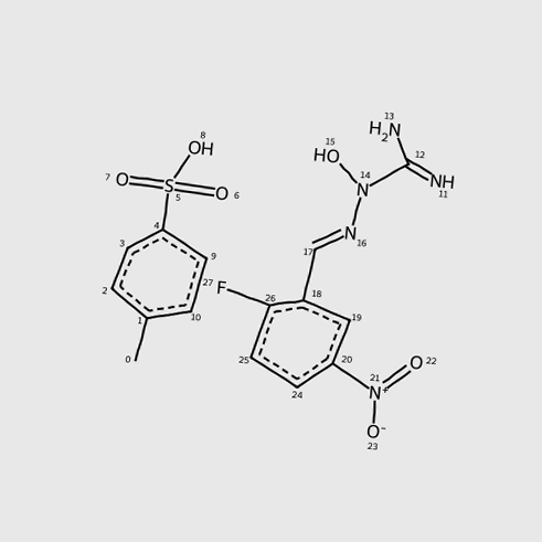 Cc1ccc(S(=O)(=O)O)cc1.N=C(N)N(O)N=Cc1cc([N+](=O)[O-])ccc1F